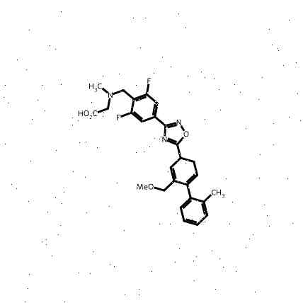 COCC1=CC(c2nc(-c3cc(F)c(CN(C)CC(=O)O)c(F)c3)no2)CC=C1c1ccccc1C